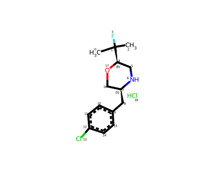 CC(C)(F)[C@H]1CN[C@@H](Cc2ccc(Cl)cc2)CO1.Cl